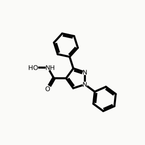 O=C(NO)c1cn(-c2ccccc2)nc1-c1ccccc1